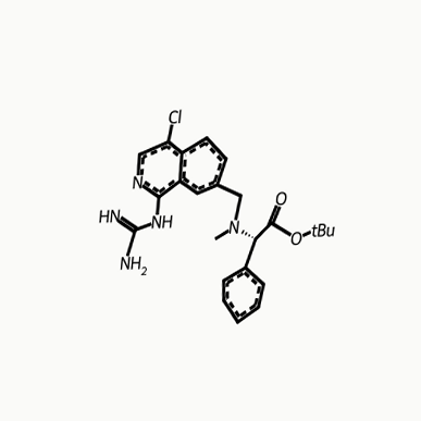 CN(Cc1ccc2c(Cl)cnc(NC(=N)N)c2c1)[C@H](C(=O)OC(C)(C)C)c1ccccc1